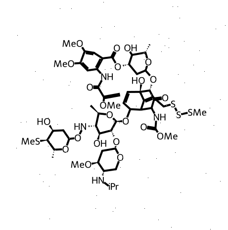 C=C(OC)C(=O)Nc1cc(OC)c(OC)cc1C(=O)O[C@H]1CC(O[C@@H]2C(=O)C(NC(=O)OC)C3/C(=C\CSSSC)[C@]2(O)C=CC3O[C@@H]2O[C@H](C)[C@@H](NOC3C[C@H](O)[C@H](SC)[C@@H](C)O3)[C@H](O)[C@H]2O[C@H]2C[C@H](OC)[C@@H](NC(C)C)CO2)O[C@@H](C)C1O